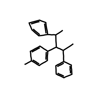 Cc1ccc(C(C(C)c2ccccc2)C(C)c2ccccc2)cc1